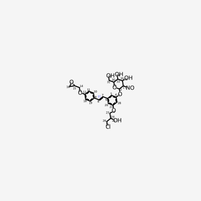 O=NC1C(Oc2cc(/C=C/c3ccc(OCC4CO4)cc3)cc(OCC(O)CCl)c2)OC(CO)C(O)C1O